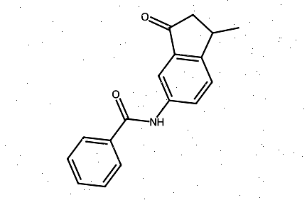 CC1CC(=O)c2cc(NC(=O)c3ccccc3)ccc21